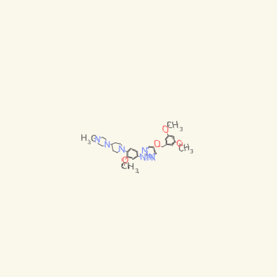 COc1cc(COc2cnc(Nc3ccc(N4CCC(N5CCN(C)CC5)CC4)c(OC)c3)nc2)cc(OC)c1